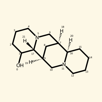 OC1CCCN2C[C@@H]3C[C@@H](CN4CCCC[C@H]34)[C@H]12